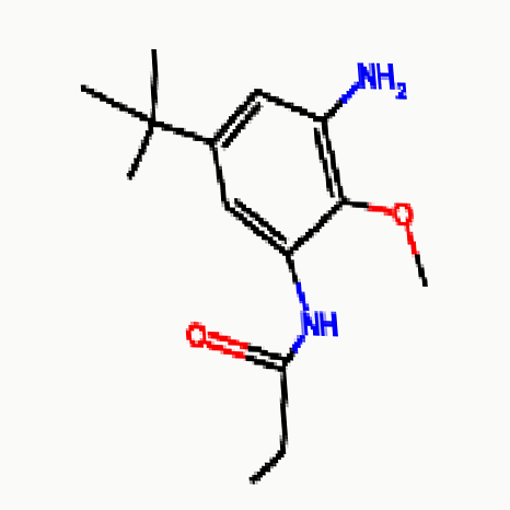 CCC(=O)Nc1cc(C(C)(C)C)cc(N)c1OC